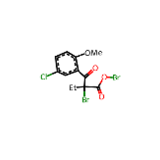 CCC(Br)(C(=O)OBr)C(=O)c1cc(Cl)ccc1OC